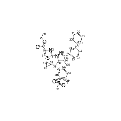 CCOC(=O)c1csc(-n2nc(-c3cccc(-c4ccccc4)c3)c(Cc3ccc(S(C)(=O)=O)c(F)c3)c2CC2CC2)n1